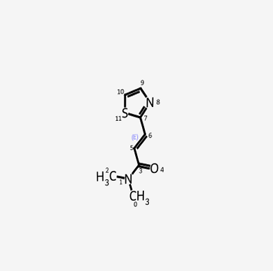 CN(C)C(=O)/C=C/c1nccs1